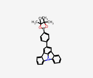 CC1(C)OB(c2ccc(-c3cc4c5ccccc5n5c6ccccc6c(c3)c45)cc2)OC1(C)C